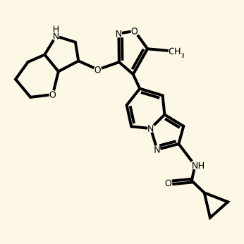 Cc1onc(OC2CNC3CCCOC32)c1-c1ccn2nc(NC(=O)C3CC3)cc2c1